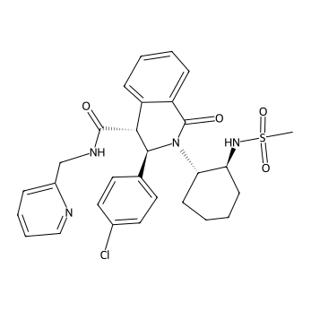 CS(=O)(=O)N[C@H]1CCCC[C@@H]1N1C(=O)c2ccccc2[C@@H](C(=O)NCc2ccccn2)[C@@H]1c1ccc(Cl)cc1